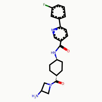 NC1CN(C(=O)[C@H]2CC[C@H](NC(=O)c3ccc(-c4cccc(F)c4)nc3)CC2)C1